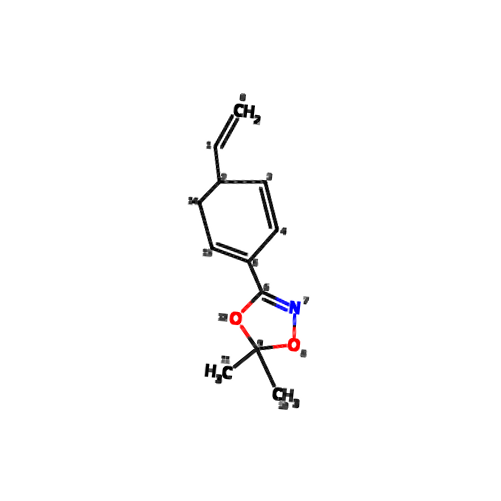 C=CC1C=CC(C2=NOC(C)(C)O2)=CC1